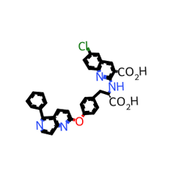 O=C(O)c1cc2cc(Cl)ccc2nc1N[C@@H](Cc1ccc(Oc2ccc3c(-c4ccccc4)nccc3n2)cc1)C(=O)O